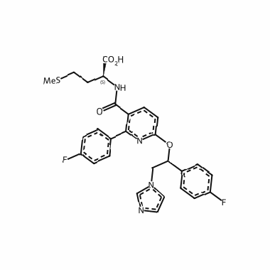 CSCC[C@H](NC(=O)c1ccc(OC(Cn2ccnc2)c2ccc(F)cc2)nc1-c1ccc(F)cc1)C(=O)O